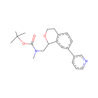 CN(CC1OCCc2ccc(-c3cccnc3)cc21)C(=O)OC(C)(C)C